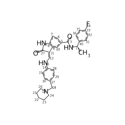 C[C@@H](NC(=O)c1ccc2c(c1)/C(=C/Nc1ccc(CN3CCCCC3)cc1)C(=O)N2)c1ccc(F)cc1